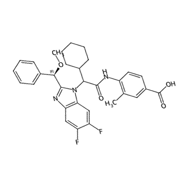 CO[C@H](c1ccccc1)c1nc2cc(F)c(F)cc2n1C(C(=O)Nc1ccc(C(=O)O)cc1C)C1CCCCC1